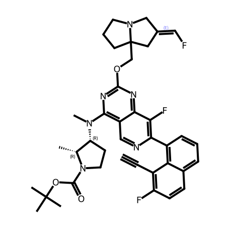 C#Cc1c(F)ccc2cccc(-c3ncc4c(N(C)[C@@H]5CCN(C(=O)OC(C)(C)C)[C@@H]5C)nc(OCC56CCCN5C/C(=C/F)C6)nc4c3F)c12